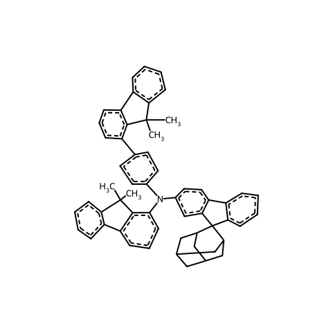 CC1(C)c2ccccc2-c2cccc(-c3ccc(N(c4ccc5c(c4)C4(c6ccccc6-5)C5CC6CC(C5)CC4C6)c4cccc5c4C(C)(C)c4ccccc4-5)cc3)c21